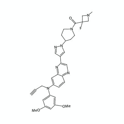 C#CCN(c1cc(OC)cc(OC)c1)c1ccc2ncc(-c3cnn(C4CCN(C(=O)C5(F)CN(C)C5)CC4)c3)nc2c1